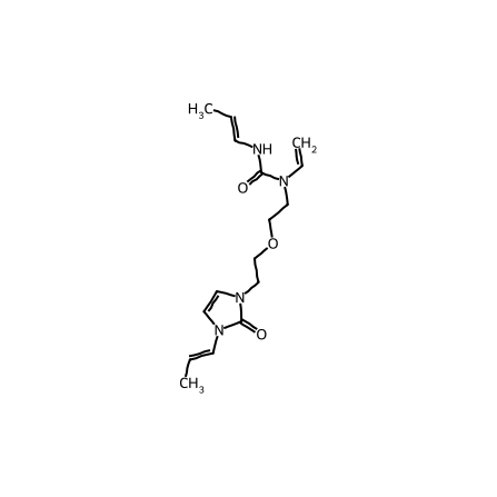 C=CN(CCOCCn1ccn(/C=C/C)c1=O)C(=O)N/C=C/C